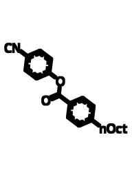 [C-]#[N+]c1ccc(OC(=O)c2ccc(CCCCCCCC)cc2)cc1